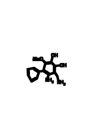 COc1c(O)c(O)c(CN)c(N)c1-c1ccccc1